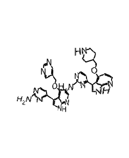 Nc1nccc(-c2c[nH]c3nccc(OCC4CCNCC4)c23)n1.Nc1nccc(-c2c[nH]c3nccc(OCc4cncnc4)c23)n1